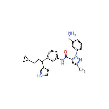 NCc1cccc(-n2nc(C(F)(F)F)cc2C(=O)Nc2cccc(C(CCC3CC3)c3cc[nH]c3)c2)c1